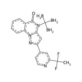 BC(B)(B)n1c(=O)c2ccccc2n2nc(-c3ccnc(C(C)(F)F)c3)cc12